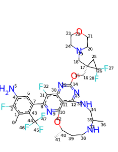 Cc1c(F)c(N)cc(-c2nc3c4c(nc(OC[C@]5(CN6CCOCC6)CC5(F)F)nc4c2F)NCC(C)NCC[C@H](C)O3)c1C(F)(F)F